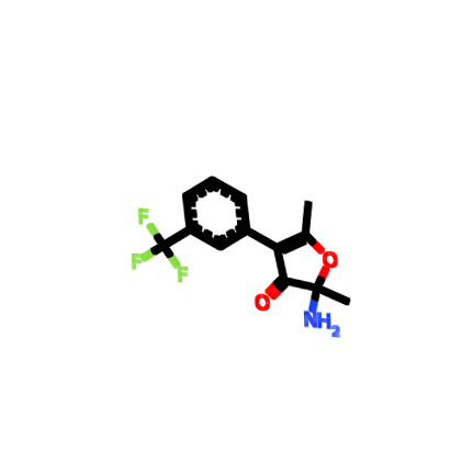 CC1=C(c2cccc(C(F)(F)F)c2)C(=O)C(C)(N)O1